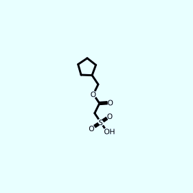 O=C(CS(=O)(=O)O)OCC1CCCC1